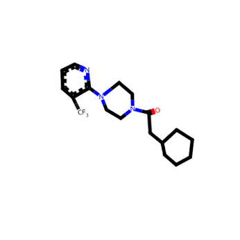 O=C(CC1CCCCC1)N1CCN(c2ncccc2C(F)(F)F)CC1